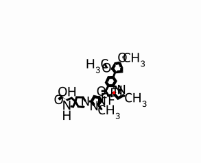 COc1ccc(-c2ccc(C(Oc3cc(N4CCC5(CC4)CN[C@H](C(=O)O)C5)nc(C)n3)C(F)(F)F)c(-n3ccc(C)n3)c2)c(OC)c1